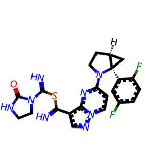 N=C(SC(=N)N1CCNC1=O)c1cnn2ccc(N3CC[C@H]4C[C@]43c3cc(F)ccc3F)nc12